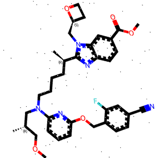 COC[C@H](C)CN(CCCC[C@@H](C)c1nc2ccc(C(=O)OC)cc2n1C[C@@H]1CCO1)c1cccc(OCc2ccc(C#N)cc2F)n1